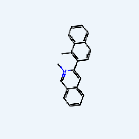 Cc1c(-c2cc3ccccc3c[n+]2C)ccc2ccccc12